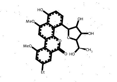 CCc1cc(OC)c2c(c1)c(=O)oc1c2cc(OC)c2c(O)ccc(C3OC([C@@H](C)O)C(O)C3O)c21